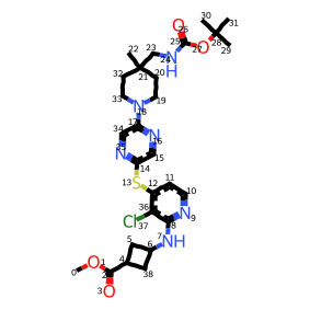 COC(=O)C1CC(Nc2nccc(Sc3cnc(N4CCC(C)(CNC(=O)OC(C)(C)C)CC4)cn3)c2Cl)C1